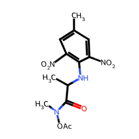 CC(=O)ON(C)C(=O)C(C)Nc1c([N+](=O)[O-])cc(C)cc1[N+](=O)[O-]